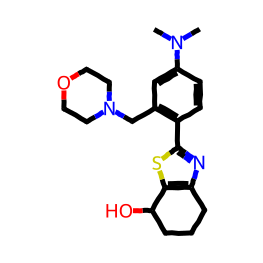 CN(C)c1ccc(-c2nc3c(s2)C(O)CCC3)c(CN2CCOCC2)c1